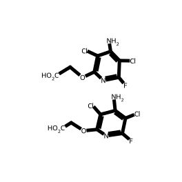 Nc1c(Cl)c(F)nc(OCC(=O)O)c1Cl.Nc1c(Cl)c(F)nc(OCC(=O)O)c1Cl